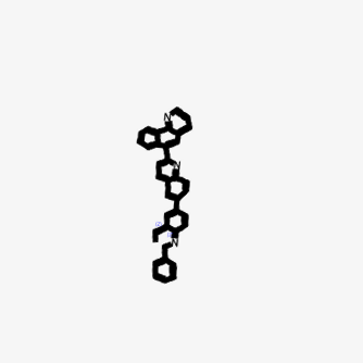 C/C=C1/C=C(c2ccc3nc(-c4cc5cccnc5c5ccccc45)ccc3c2)C=C/C1=N/Cc1ccccc1